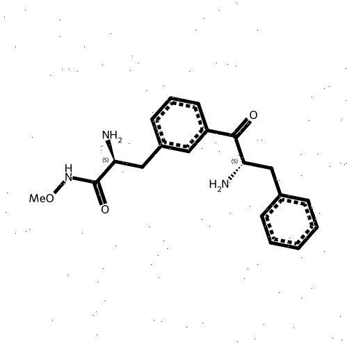 CONC(=O)[C@@H](N)Cc1cccc(C(=O)[C@@H](N)Cc2ccccc2)c1